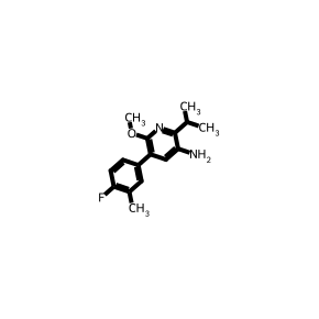 COc1nc(C(C)C)c(N)cc1-c1ccc(F)c(C)c1